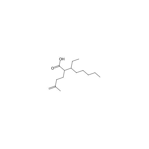 C=C(C)CCC(C(=O)O)C(CC)CCCCC